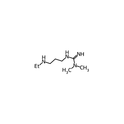 CCNCCCNC(=N)N(C)C